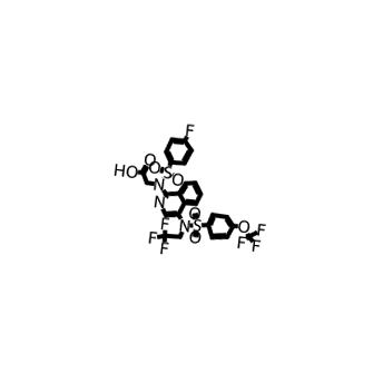 O=C(O)CN(c1ncc(N(CC(F)(F)F)S(=O)(=O)c2ccc(OC(F)(F)F)cc2)c2ccccc12)S(=O)(=O)c1ccc(F)cc1